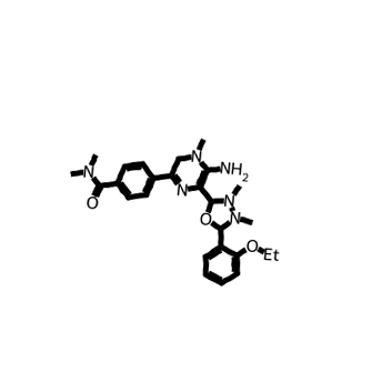 CCOc1ccccc1C1OC(C2=C(N)N(C)CC(c3ccc(C(=O)N(C)C)cc3)=N2)N(C)N1C